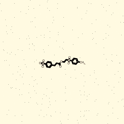 Cc1ccc(S(=O)(=O)CCOC(=O)CCc2ccc(S(=O)(=O)Cl)cc2)cc1